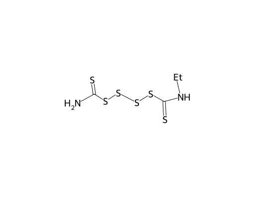 CCNC(=S)SSSSC(N)=S